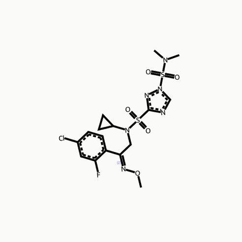 CO/N=C(\CN(C1CC1)S(=O)(=O)c1ncn(S(=O)(=O)N(C)C)n1)c1ccc(Cl)cc1F